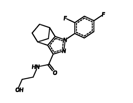 O=C(NCCO)c1nn(-c2ccc(F)cc2F)c2c1C1CCC2C1